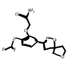 NC(=O)COc1cc(C2=NOC3(CCOC3)C2)ccc1OC(F)F